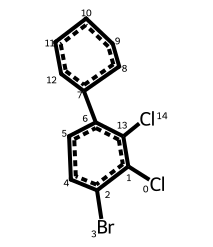 Clc1c(Br)ccc(-c2ccccc2)c1Cl